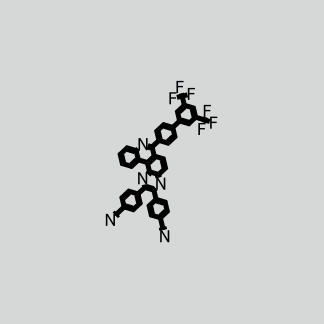 N#Cc1ccc(-c2nc3ccc4c(-c5ccc(-c6cc(C(F)(F)F)cc(C(F)(F)F)c6)cc5)nc5ccccc5c4c3nc2-c2ccc(C#N)cc2)cc1